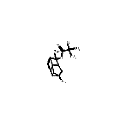 CCCC(C)C1(OC(=O)C(C)(C)CC)C2CC3CC1CC(C)(C3)C2